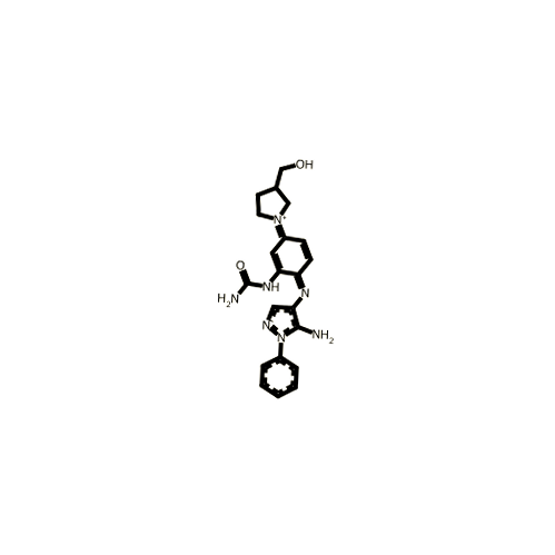 NC(=O)NC1=CC(=[N+]2\CCC(CO)C2)/C=CC/1=N/c1cnn(-c2ccccc2)c1N